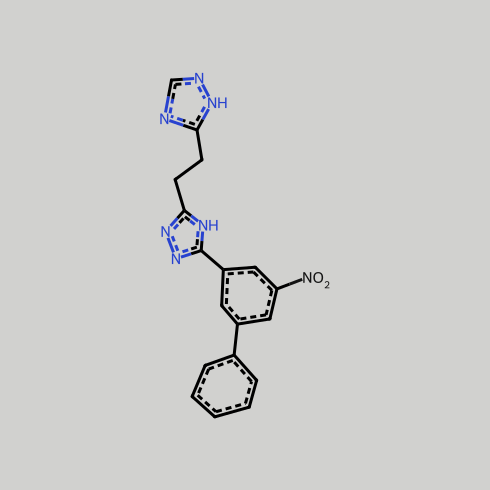 O=[N+]([O-])c1cc(-c2ccccc2)cc(-c2nnc(CCc3ncn[nH]3)[nH]2)c1